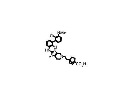 CNc1cccc(-c2cccc(Nc3nc4c(n3C)CCN(CCC35CCC(C(=O)O)(CC3)C5)C4)c2Cl)c1Cl